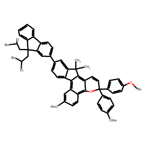 CCC(C)Oc1ccc(C2(c3ccc(OC)cc3)C=Cc3c4c(c5cc(OC)ccc5c3O2)-c2ccc(-c3ccc5c(c3)C(CC(CC)C(C)CC)(CC(CC)C(C)CC)c3ccccc3-5)cc2C4(C)C)cc1